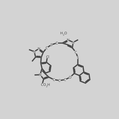 Cc1c2c(nn1C)CSCc1cc(n(C)n1)CSc1cc(c3ccccc3c1)OCCCc1c(C(=O)O)n(C)c3c-2c(Cl)ccc13.O